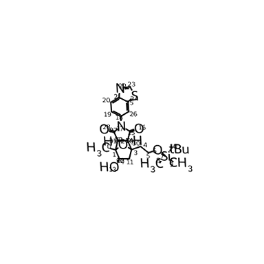 CC12OC(CCO[Si](C)(C)C(C)(C)C)(C[C@H]1O)[C@@H]1C(=O)N(c3ccc4ncsc4c3)C(=O)[C@@H]12